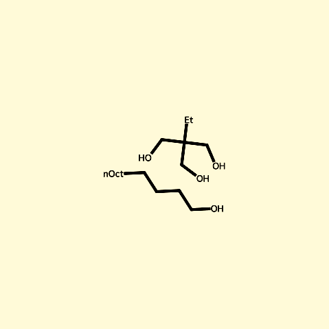 CCC(CO)(CO)CO.CCCCCCCCCCCCO